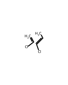 C=CCl.CC=CCl